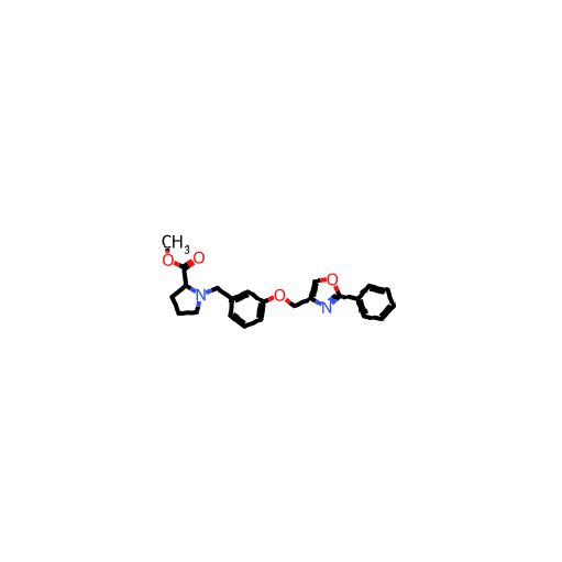 COC(=O)C1CCCN1Cc1cccc(OCc2coc(-c3ccccc3)n2)c1